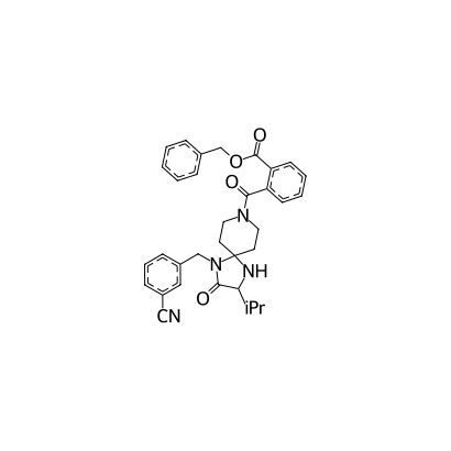 CC(C)C1NC2(CCN(C(=O)c3ccccc3C(=O)OCc3ccccc3)CC2)N(Cc2cccc(C#N)c2)C1=O